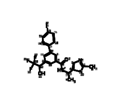 Cc1ncc([C@@H](C)NC(=O)c2cc(-c3ccc(F)cn3)cc(C(O)C(F)(F)F)c2)s1